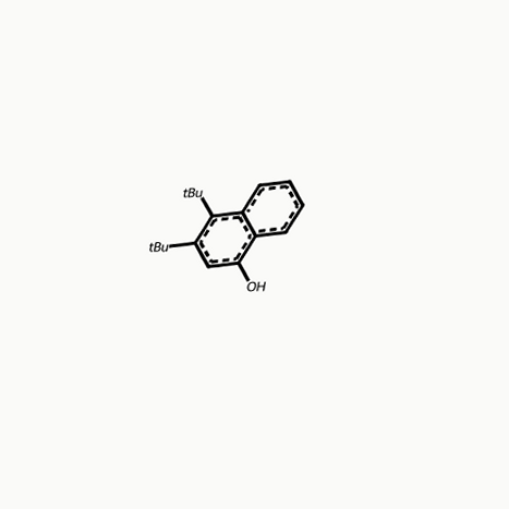 CC(C)(C)c1cc(O)c2ccccc2c1C(C)(C)C